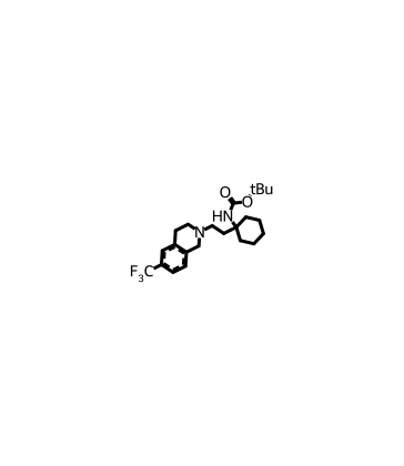 CC(C)(C)OC(=O)NC1(CCN2CCc3cc(C(F)(F)F)ccc3C2)CCCCC1